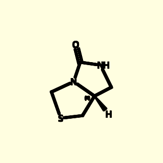 O=C1NC[C@@H]2CSCN12